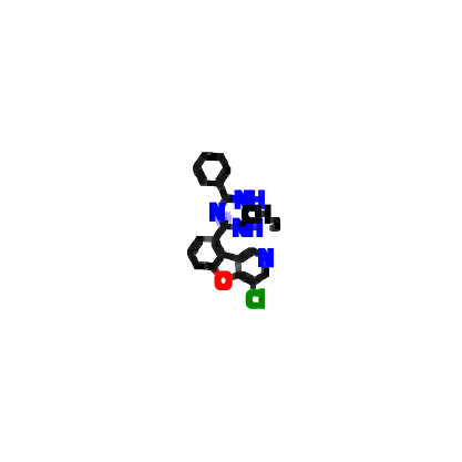 CN/C(=N\C(=N)c1ccccc1)c1cccc2oc3c(Cl)cncc3c12